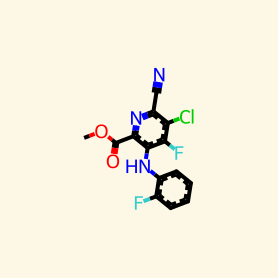 COC(=O)c1nc(C#N)c(Cl)c(F)c1Nc1ccccc1F